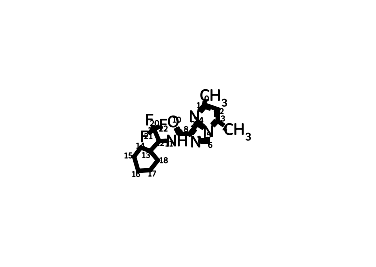 Cc1cc(C)n2cnc(C(=O)NC(C3CCCCC3)C(F)(F)F)c2n1